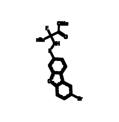 CCCCC(F)(NSc1ccc2c(c1)oc1ccc(Br)cc12)C(=O)OC